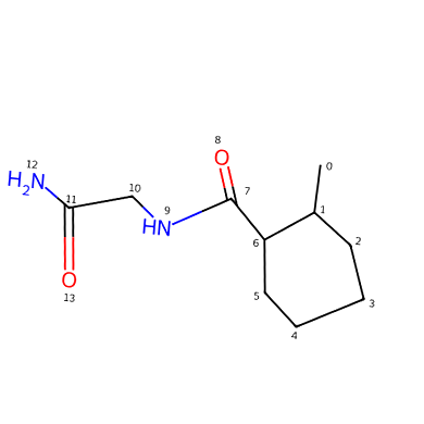 CC1CCCCC1C(=O)NCC(N)=O